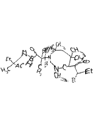 CCC(CC)C(=O)C1CN(C)CN(C(C)(CC)C(C)(CC)C(=O)BNC(C)(CC)C(C)=O)C(C)(C)CC1(C)C